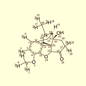 [2H]c1c([2H])c(OC([2H])([2H])[2H])c2c3c1C[C@H]1N(C([2H])([2H])[2H])CC[C@@]34C(O2)C(=O)C([2H])([2H])C[C@@]14O